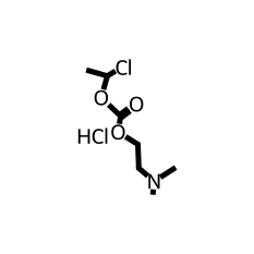 CC(Cl)OC(=O)OCCN(C)C.Cl